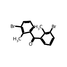 Cc1c(Br)cccc1C(=O)c1cccc(Br)c1C